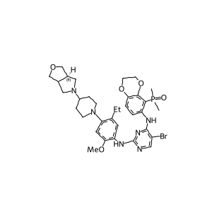 CCc1cc(Nc2ncc(Br)c(Nc3ccc4c(c3P(C)(C)=O)OCCO4)n2)c(OC)cc1N1CCC(N2CC3COC[C@H]3C2)CC1